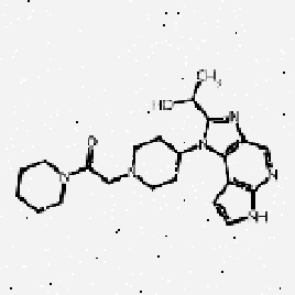 CC(O)c1nc2cnc3[nH]ccc3c2n1C1CCN(CC(=O)N2CCCCC2)CC1